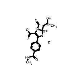 CNC(=O)c1ccc(C2=C(C(=O)[O-])N3C(=O)[C@H]([C@@H](C)O)[C@H]3S2)cc1.[K+]